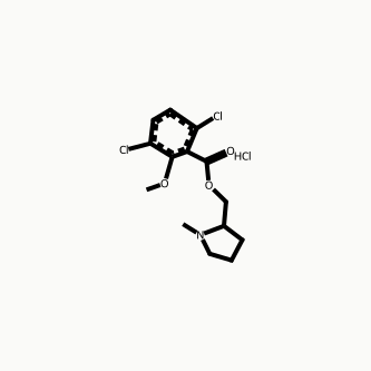 COc1c(Cl)ccc(Cl)c1C(=O)OCC1CCCN1C.Cl